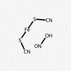 N#C[S][Fe][S]C#N.O=NO